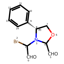 O=CC(Br)N1C(C=O)OC[C@H]1c1ccccc1